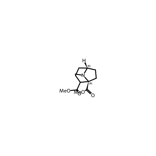 COC(=O)C1CC[C@@H]2CC[C@@]1(C(=O)OC)N2C